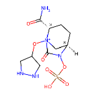 NC(=O)[C@@H]1CC[C@@H]2C[N+]1(OC1CNNC1)C(=O)N2OS(=O)(=O)O